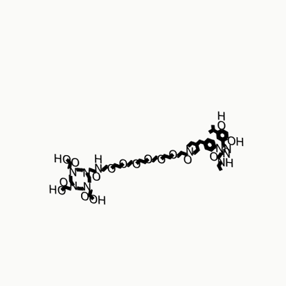 CCNC(=O)c1nnc(-c2cc(C(C)C)c(O)cc2O)n1-c1ccc(CC2CCN(C(=O)CCOCCOCCOCCOCCOCCOCCNC(=O)CN3CCN(CC(=O)O)CCN(CC(=O)O)CCN(CC(=O)O)CC3)CC2)cc1